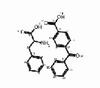 NC(Cc1ccccc1)C(=O)O.O=C(O)c1ccc(C(=O)c2ccccc2)cc1